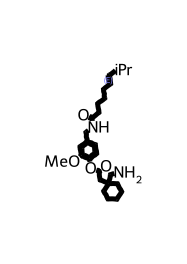 COc1cc(CNC(=O)CCCC/C=C/C(C)C)ccc1OC(=O)CC1(CN)CCCCC1